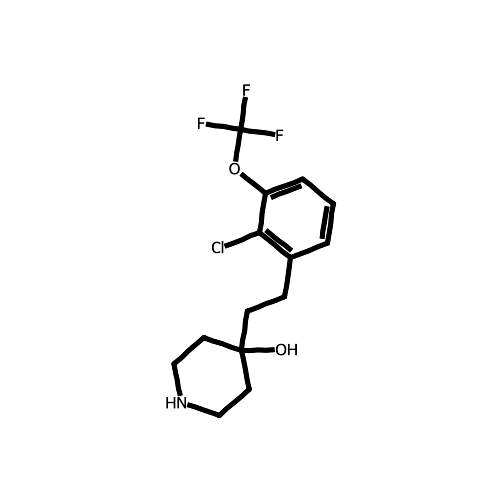 OC1(CCc2cccc(OC(F)(F)F)c2Cl)CCNCC1